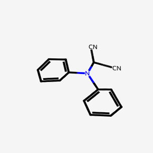 N#CC(C#N)N(c1ccccc1)c1ccccc1